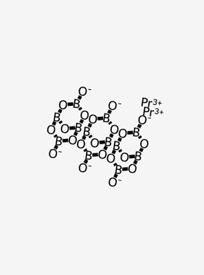 [O-]B1OB2OB([O-])OB(O1)O2.[O-]B1OB2OB([O-])OB(O1)O2.[O-]B1OB2OB([O-])OB(O1)O2.[Pr+3].[Pr+3]